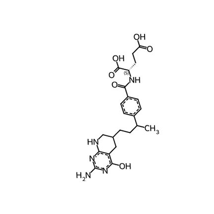 CC(CCC1CNc2nc(N)nc(O)c2C1)c1ccc(C(=O)N[C@@H](CCC(=O)O)C(=O)O)cc1